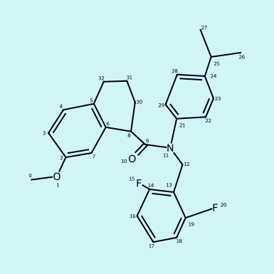 COc1ccc2c(c1)C(C(=O)N(Cc1c(F)cccc1F)c1ccc(C(C)C)cc1)CCC2